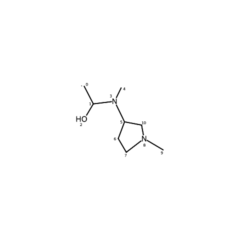 [CH2]C(O)N(C)C1CCN(C)C1